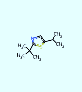 CC(C)c1cnc(C(C)(C)C)s1